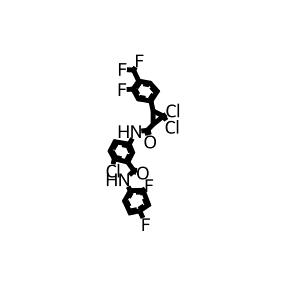 O=C(Nc1ccc(F)cc1F)c1cc(NC(=O)C2C(c3ccc(C(F)F)c(F)c3)C2(Cl)Cl)ccc1Cl